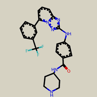 O=C(NC1CCNCC1)c1ccc(Nc2nc3cccc(-c4cccc(C(F)(F)F)c4)n3n2)cc1